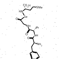 CSCC[C@H](N[Se]C(=O)CNC(=O)[C@@H](NC(=O)[C@@H](N)Cc1ccccc1)C(C)C)C(=O)O